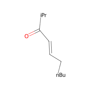 CCCCC/C=C/C(=O)C(C)C